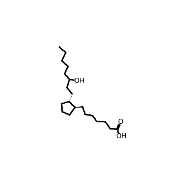 CCCCCC(O)CC[C@H]1CCC[C@@H]1CCCCCCC(=O)O